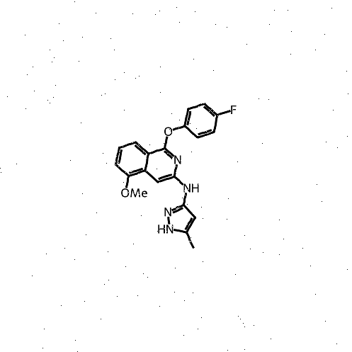 COc1cccc2c(Oc3ccc(F)cc3)nc(Nc3cc(C)[nH]n3)cc12